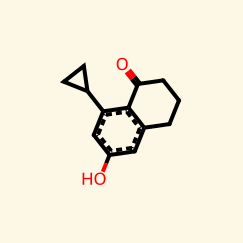 O=C1CCCc2cc(O)cc(C3CC3)c21